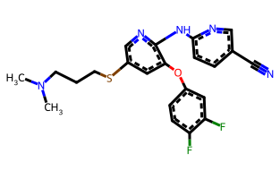 CN(C)CCCSc1cnc(Nc2ccc(C#N)cn2)c(Oc2ccc(F)c(F)c2)c1